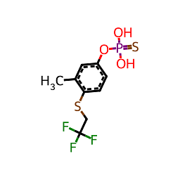 Cc1cc(OP(O)(O)=S)ccc1SCC(F)(F)F